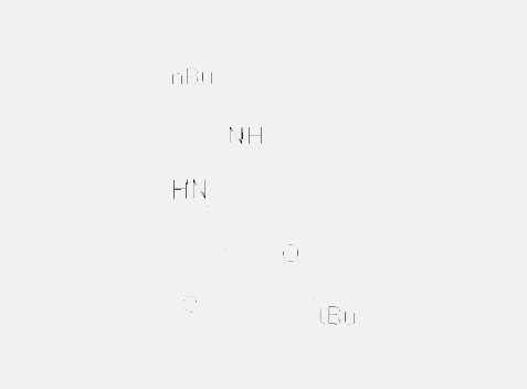 CCCCNNC(=O)OC(C)(C)C